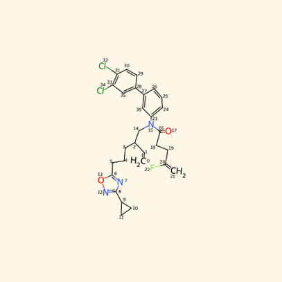 C=CC(CCCc1nc(C2CC2)no1)CN(C(=O)CCC(=C)F)c1cccc(-c2ccc(Cl)c(Cl)c2)c1